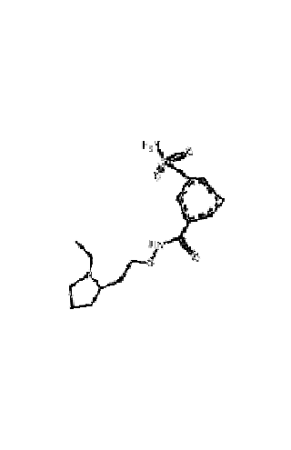 CCN1CCCC1CCONC(=O)c1cccc(S(N)(=O)=O)c1